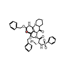 CC(C)C[C@@H](NS(=O)(=O)c1ccccc1)C(=O)N1CCC[C@H]1C(=O)C1C[CH]CCN1C(=NC(=O)OCc1ccccc1)NC(=O)OCc1ccccc1